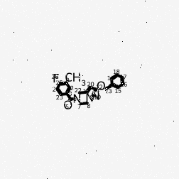 Cc1cc(C(=O)N2CCn3nc(OCc4ccccc4)cc3C2)ccc1F